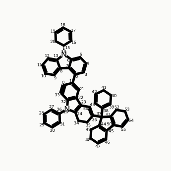 c1c(-c2cccc3c2c2ccccc2n3[C@H]2C=CC=CC2)cc2c3c(n(-c4ccccc4)c2c#1)CCC(C1(C2=CCCC=C2)C2=C(C=CCC2)C2=C1CCC=C2)=C3